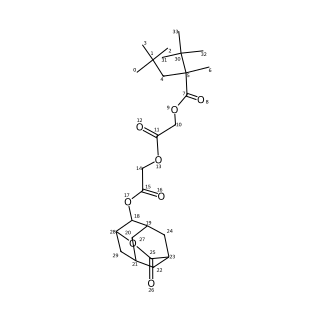 CC(C)(C)CC(C)(C(=O)OCC(=O)OCC(=O)OC1C2CC3CC(C2)C(=O)OC1C3)C(C)(C)C